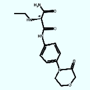 CCN[C@@H](C(N)=O)C(=O)Nc1ccc(N2CCOCC2=O)cc1